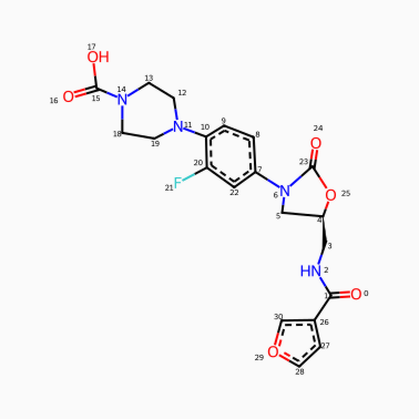 O=C(NC[C@H]1CN(c2ccc(N3CCN(C(=O)O)CC3)c(F)c2)C(=O)O1)c1ccoc1